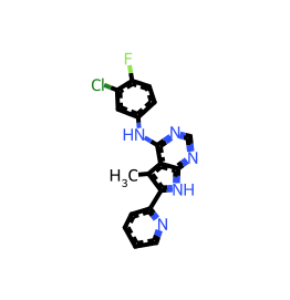 Cc1c(-c2ccccn2)[nH]c2ncnc(Nc3ccc(F)c(Cl)c3)c12